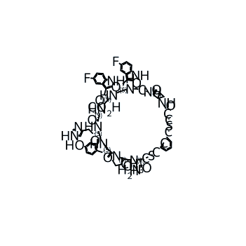 C[C@@]12CCCN1C(=O)[C@H](Cc1ccc(O)cc1)NC(=O)[C@H](CCc1c[nH]cn1)NC(=O)[C@H](CC(=O)O)NC(=O)[C@H](Cc1c[nH]c3ccc(F)cc13)NC(=O)[C@H](Cc1c[nH]c3ccc(F)cc13)NC(=O)CNC(=O)C1(CC1)NC(=O)CCSCc1cccc(c1)CSC[C@@H](C(N)=O)NC2=O